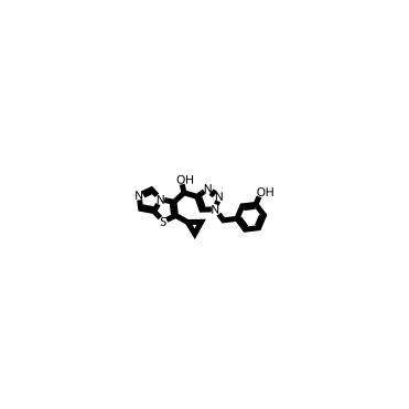 Oc1cccc(Cn2cc(C(O)c3c(C4CC4)sc4cncn34)nn2)c1